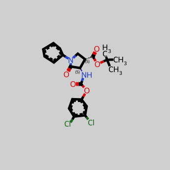 CC(C)(C)OC(=O)[C@H]1CN(c2ccccc2)C(=O)[C@H]1NC(=O)Oc1ccc(Cl)c(Cl)c1